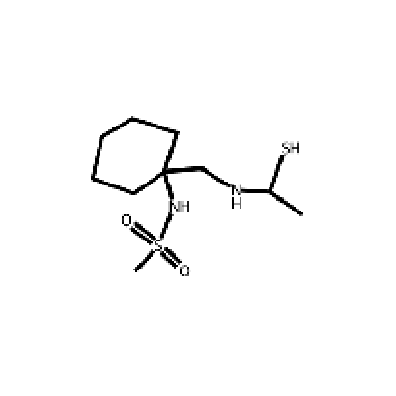 CC(S)NCC1(NS(C)(=O)=O)CCCCC1